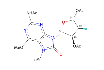 CCCn1c(=O)n([C@@H]2O[C@H](OC(C)=O)[C@@H](F)[C@H]2OC(C)=O)c2nc(NC(C)=O)nc(OC)c21